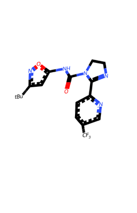 CC(C)(C)c1cc(NC(=O)N2CCN=C2c2ccc(C(F)(F)F)cn2)on1